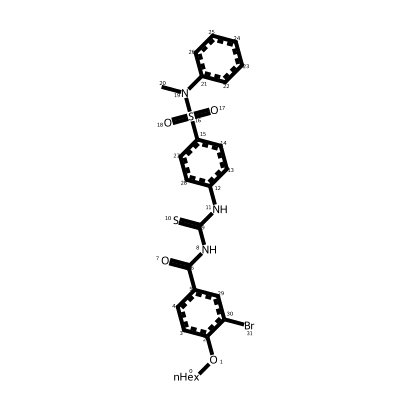 CCCCCCOc1ccc(C(=O)NC(=S)Nc2ccc(S(=O)(=O)N(C)c3ccccc3)cc2)cc1Br